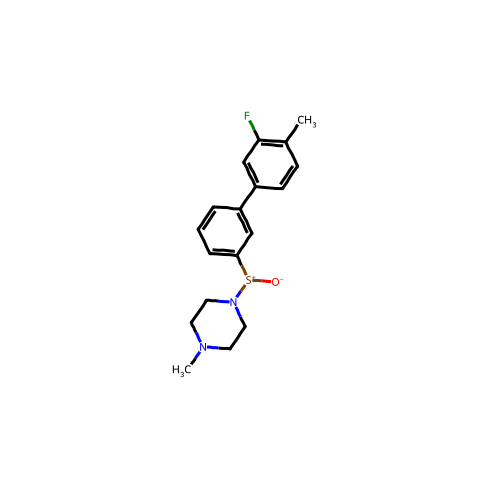 Cc1ccc(-c2cccc([S+]([O-])N3CCN(C)CC3)c2)cc1F